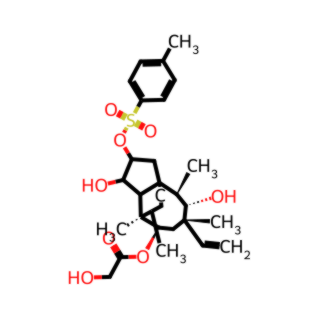 C=C[C@]1(C)C[C@@H](OC(=O)CO)[C@]2(C)C(C)CC[C@]3(CC(OS(=O)(=O)c4ccc(C)cc4)C(O)C32)[C@@H](C)[C@@H]1O